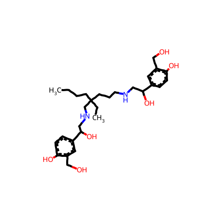 CCCCC(CC)(CCCNCC(O)c1ccc(O)c(CO)c1)CNCC(O)c1ccc(O)c(CO)c1